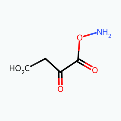 NOC(=O)C(=O)CC(=O)O